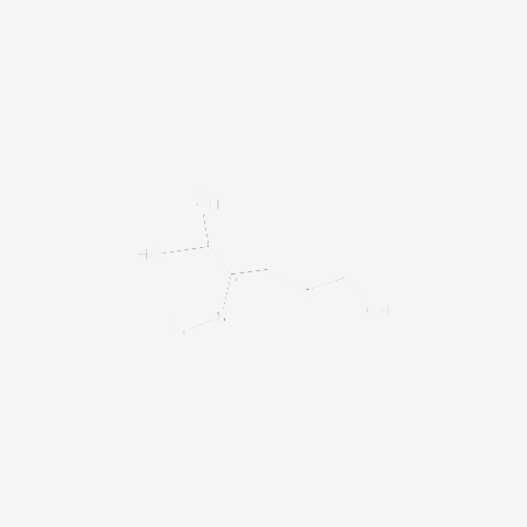 OCCCC(NO)C(O)O